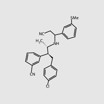 CSc1cccc(C(CC#N)N[C@@H](C)[C@@H](Cc2ccc(Cl)cc2)c2cccc(C#N)c2)c1